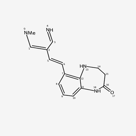 CN/C=C(C=N)/C=C/c1cccc2c1NCCC(=O)N2